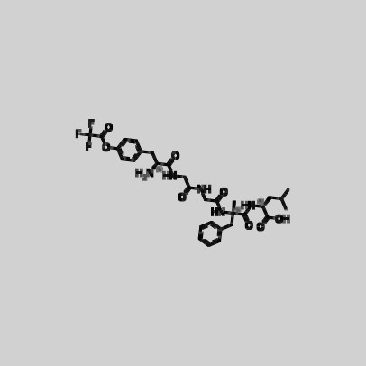 CC(C)C[C@H](NC(=O)[C@](C)(Cc1ccccc1)NC(=O)CNC(=O)CNC(=O)[C@@H](N)Cc1ccc(OC(=O)C(F)(F)F)cc1)C(=O)O